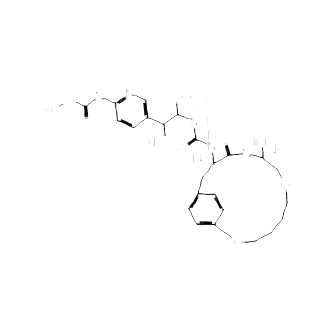 CC(C)[C@H]1COCCCCOc2ccc(cc2)C[C@@H](NC(=O)NC(C(=O)O)C(c2ccc(NC(=O)OC(C)(C)C)nc2)C(C)(C)C)C(=O)N1